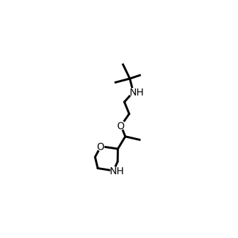 CC(OCCNC(C)(C)C)C1CNCCO1